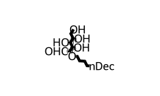 CCCCCCCCCCCCCCO[C@@H](C=O)[C@@H](O)[C@@H](O)[C@H](O)CO